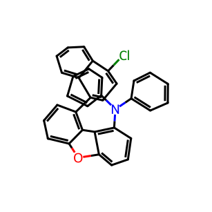 Clc1ccc(-c2cccc3oc4cccc(N(c5ccccc5)c5ccccc5)c4c23)c2ccccc12